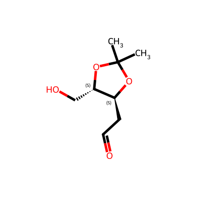 CC1(C)O[C@@H](CO)[C@H](CC=O)O1